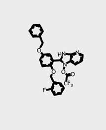 O=C(ON1c2cccnc2NC1c1cc(OCc2ccccc2)ccc1OCc1ccccc1F)C(F)(F)F